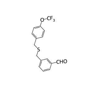 O=Cc1cccc(CSCc2ccc(OC(F)(F)F)cc2)c1